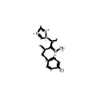 CC(Cc1ccc(Cl)cc1)C(=NO)C(C)n1cncn1